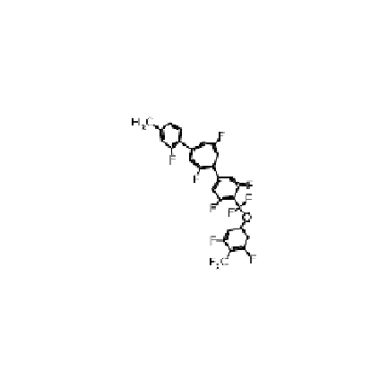 Cc1ccc(C2=CC(F)=CC(c3cc(F)c(C(F)(F)OC4C=C(F)C(C(F)(F)F)=C(F)C4)c(F)c3)C(F)=C2)c(F)c1